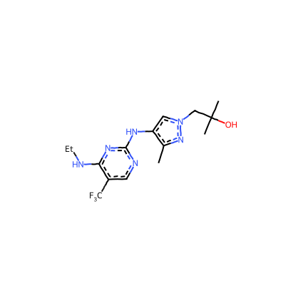 CCNc1nc(Nc2cn(CC(C)(C)O)nc2C)ncc1C(F)(F)F